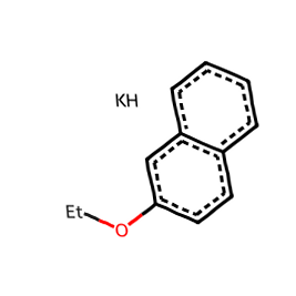 CCOc1ccc2ccccc2c1.[KH]